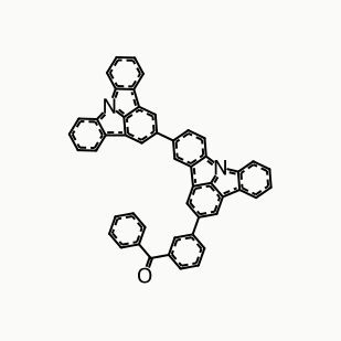 O=C(c1ccccc1)c1cccc(-c2cc3c4ccccc4n4c5ccc(-c6cc7c8ccccc8n8c9ccccc9c(c6)c78)cc5c(c2)c34)c1